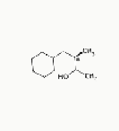 CC(O)[C@H](C)CC1CCCCC1